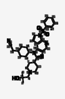 CC(C)(O)CN1CCC(c2nc3cnc4c(ccn4S(=O)(=O)c4ccccc4)c3n2C2CCC(CC#N)CC2)CC1